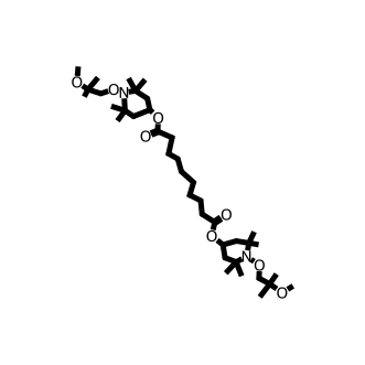 COC(C)(C)CON1C(C)(C)CC(OC(=O)CCCCCCCCC(=O)OC2CC(C)(C)N(OCC(C)(C)OC)C(C)(C)C2)CC1(C)C